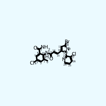 Cc1cc(Cl)cc(C(N)=O)c1NC(=O)C=Cc1cc(Br)nn1-c1ncccc1Cl